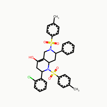 Cc1ccc(S(=O)(=O)N2CC3=C(O)CC(c4ccccc4Cl)N(S(=O)(=O)c4ccc(C)cc4)C3CC2c2ccccc2)cc1